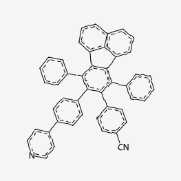 N#Cc1ccc(-c2c(-c3ccc(-c4ccncc4)cc3)c(-c3ccccc3)c3c(c2-c2ccccc2)-c2cccc4cccc-3c24)cc1